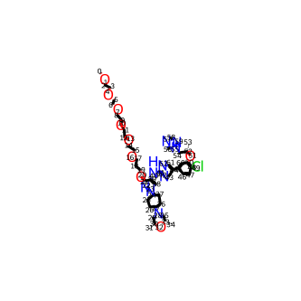 COCCOCCOCCOCCOCCOCCCOc1nn([C@H]2CC[C@H](N3C[C@@H](C)O[C@@H](C)C3)CC2)cc1Nc1ncc(-c2ccc(Cl)c(O[C@@H](C)Cn3cncn3)c2)cn1